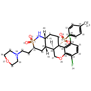 O=S1(=O)N[C@@H]2CC[C@@]3(S(=O)(=O)c4ccc(C(F)(F)F)cc4)c4c(F)ccc(F)c4OC[C@H]3[C@@H]2C[C@H]1CCN1CCOCC1